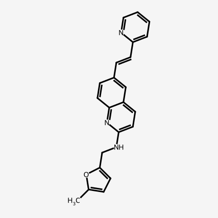 Cc1ccc(CNc2ccc3cc(C=Cc4ccccn4)ccc3n2)o1